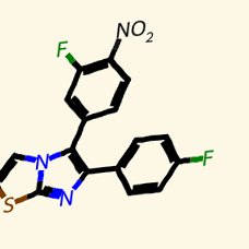 O=[N+]([O-])c1ccc(-c2c(-c3ccc(F)cc3)nc3sccn23)cc1F